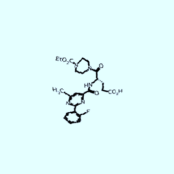 CCOC(=O)N1CCN(C(=O)[C@H](CCC(=O)O)NC(=O)c2cc(C)nc(-c3ccccc3F)n2)CC1